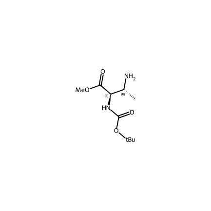 COC(=O)[C@H](NC(=O)OC(C)(C)C)[C@@H](C)N